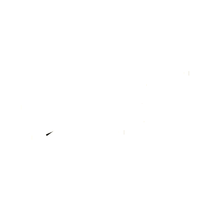 CCOC(=O)CC(O)CC[C@@H](C)CC